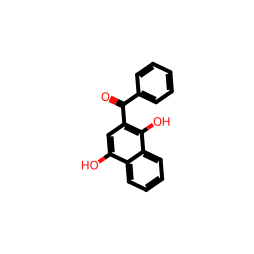 O=C(c1ccccc1)c1cc(O)c2ccccc2c1O